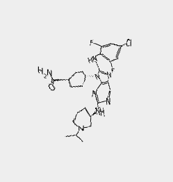 CC(C)N1CCC[C@@H](Nc2ncc3nc(Nc4c(F)cc(Cl)cc4F)n([C@H]4CC[C@H](C(N)=O)CC4)c3n2)C1